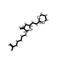 C=C(C)CCCCC[C@@H]1OC(CCC2OCCCO2)CC1=C